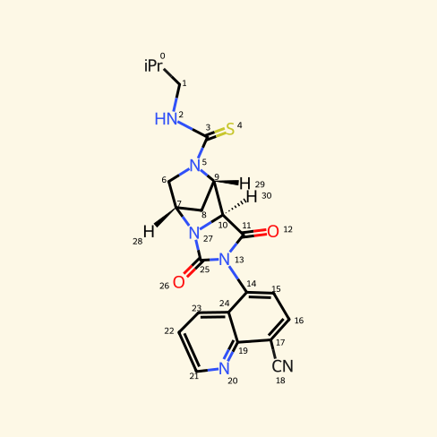 CC(C)CNC(=S)N1C[C@@H]2C[C@H]1[C@H]1C(=O)N(c3ccc(C#N)c4ncccc34)C(=O)N21